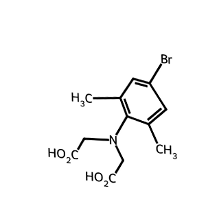 Cc1cc(Br)cc(C)c1N(CC(=O)O)CC(=O)O